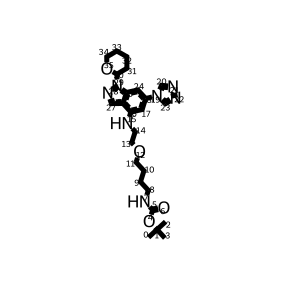 CC(C)(C)OC(=O)NCCCCOCCNc1cc(-n2cnnc2)cc2c1cnn2C1CCCCO1